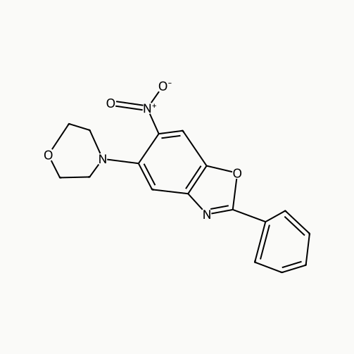 O=[N+]([O-])c1cc2oc(-c3ccccc3)nc2cc1N1CCOCC1